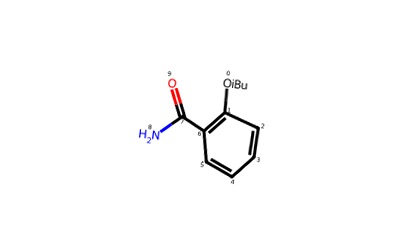 CC(C)COc1ccc[c]c1C(N)=O